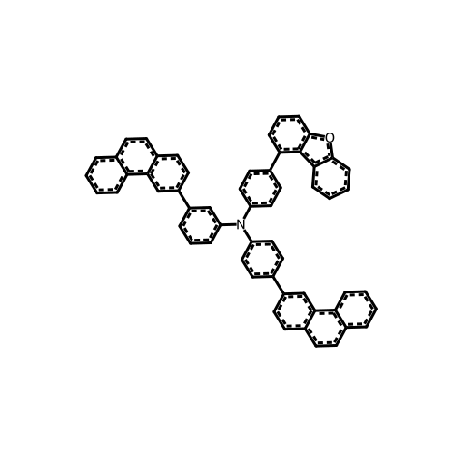 c1cc(-c2ccc3ccc4ccccc4c3c2)cc(N(c2ccc(-c3ccc4ccc5ccccc5c4c3)cc2)c2ccc(-c3cccc4oc5ccccc5c34)cc2)c1